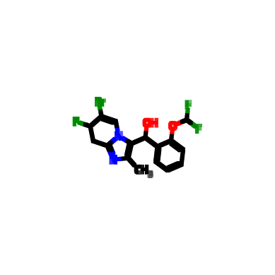 Cc1nc2n(c1C(O)c1ccccc1OC(F)F)C=C(Br)C(F)C2